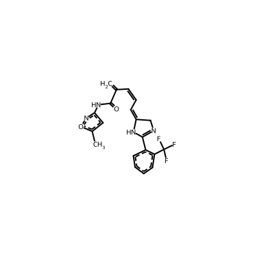 C=C(/C=C\C=C1/CN=C(c2ccccc2C(F)(F)F)N1)C(=O)Nc1cc(C)on1